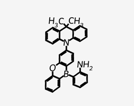 CC1(C)c2ccccc2N(c2ccc3c(c2)Oc2ccccc2B3c2ccccc2N)c2ccccc21